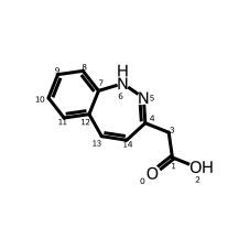 O=C(O)CC1=NNc2ccccc2C=C1